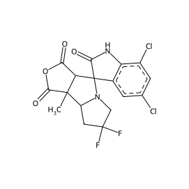 CC12C(=O)OC(=O)C1C1(C(=O)Nc3c(Cl)cc(Cl)cc31)N1CC(F)(F)CC12